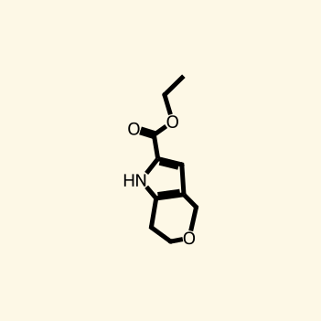 CCOC(=O)c1cc2c([nH]1)CCOC2